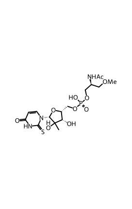 COC[C@@H](COP(=O)(O)OC[C@H]1O[C@@H](n2ccc(=O)[nH]c2=S)C(C)(O)[C@H]1O)NC(C)=O